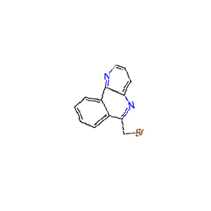 BrCc1nc2cccnc2c2ccccc12